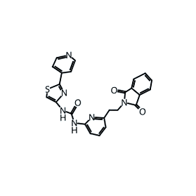 O=C(Nc1cccc(CCN2C(=O)c3ccccc3C2=O)n1)Nc1csc(-c2ccncc2)n1